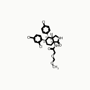 COCOCC(=O)N[C@@]12CC[C@@H](c3ccc(Cl)cc3Cl)[C@H](c3ccc(Cl)cc3)[C@@H]1CNC2=O